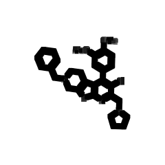 COc1ccc(-c2c(Cl)c(CN3CCCC3)nc3sc4c(c23)CCN(Cc2ccccc2)C4)cc1OC